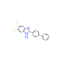 Fc1cc2nc(-c3ccc(-c4ccccc4)cc3)[nH]c2cc1F